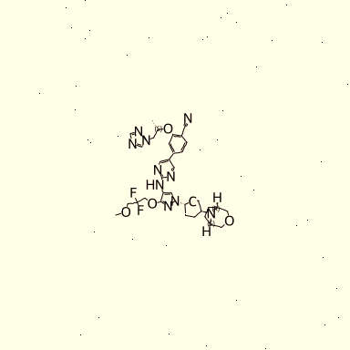 COCC(F)(F)COc1nn([C@H]2CC[C@H](N3[C@@H]4CC[C@H]3COC4)CC2)cc1Nc1ncc(-c2ccc(C#N)c(O[C@@H](C)Cn3cncn3)c2)cn1